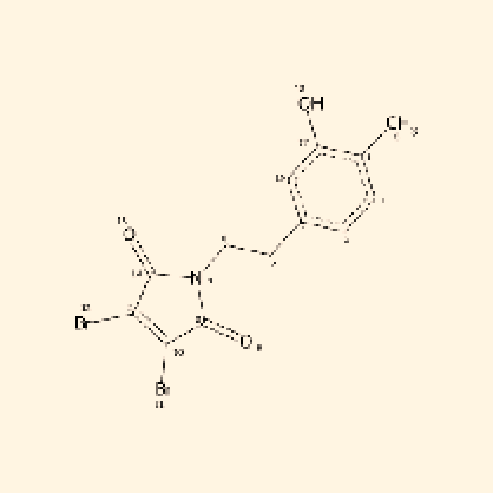 Cc1ccc(CCN2C(=O)C(Br)=C(Br)C2=O)cc1O